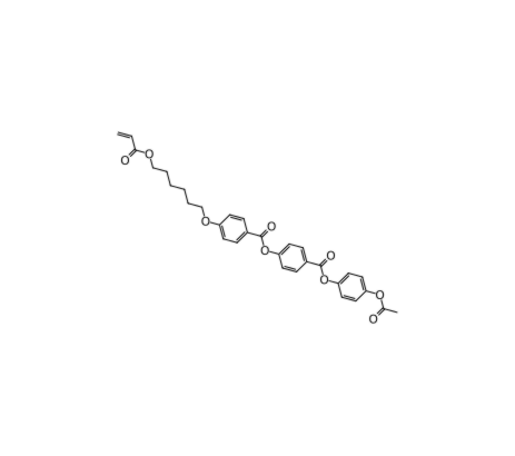 C=CC(=O)OCCCCCCOc1ccc(C(=O)Oc2ccc(C(=O)Oc3ccc(OC(C)=O)cc3)cc2)cc1